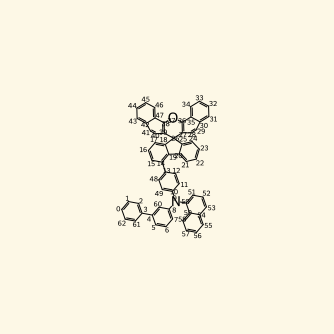 c1ccc(-c2cccc(N(c3ccc(-c4cccc5c4-c4ccccc4C54c5ccc6ccccc6c5Oc5c4ccc4ccccc54)cc3)c3cccc4ccccc34)c2)cc1